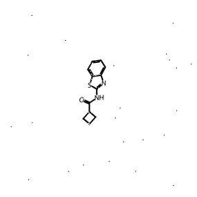 O=C(Nc1nc2ccccc2s1)C1CCC1